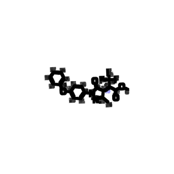 COC(=O)/C(=C1/C(=O)N(c2ccc(Oc3ccccc3)cc2)N=C1C)C(F)(F)F